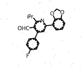 CC(C)c1nc(-c2cccc3c2OCO3)cc(-c2ccc(F)cc2)c1C=O